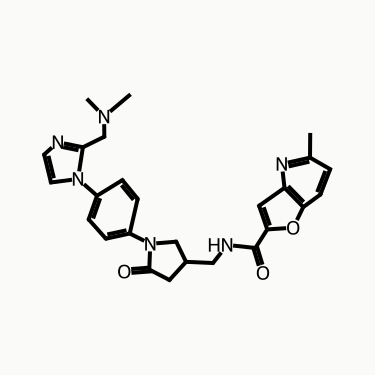 Cc1ccc2oc(C(=O)NCC3CC(=O)N(c4ccc(-n5ccnc5CN(C)C)cc4)C3)cc2n1